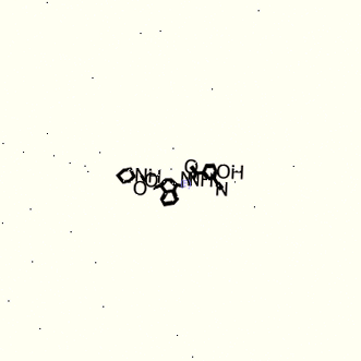 N#Cc1cc(C(=O)N/N=C/c2ccc(COC(=O)NC3CCCCC3)c3ccccc23)ccc1O